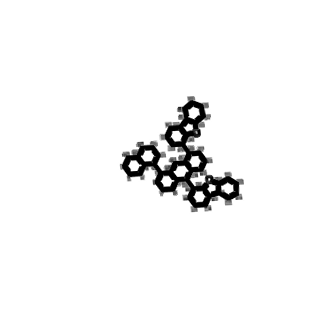 c1ccc2c(-c3cccc4c(-c5cccc6c5oc5ccccc56)c5cccc(-c6cccc7c6oc6ccccc67)c5cc34)cccc2c1